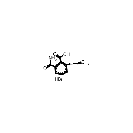 Br.C=CCc1cccc(C(N)=O)c1C(=O)O